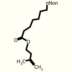 C=C(C)CCOC(=O)CCCCCCCCCCCCCCC